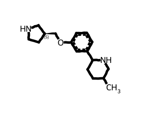 CC1CCC(c2cccc(OC[C@H]3CCNC3)c2)NC1